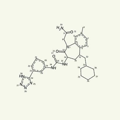 Cc1ccc2c(c1)N(CC(N)=O)C(=O)C(NC(=O)Nc1cccc(-c3nnn[nH]3)c1)CC2CC1CCCCC1